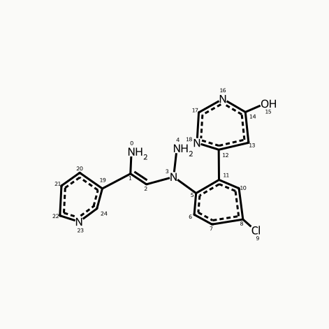 N/C(=C\N(N)c1ccc(Cl)cc1-c1cc(O)ncn1)c1cccnc1